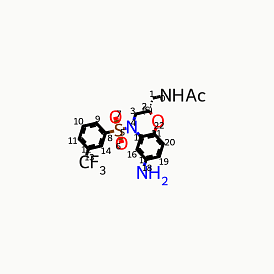 CC(=O)NC[C@H]1CN(S(=O)(=O)c2cccc(C(F)(F)F)c2)c2cc(N)ccc2O1